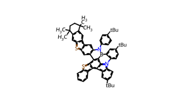 CC(C)(C)c1ccc(N2B3c4cc(C(C)(C)C)ccc4-n4c5ccc(C(C)(C)C)cc5c5c6c(sc7ccccc76)c(c3c54)-c3cc4sc5cc6c(cc5c4cc32)C(C)(C)CCC6(C)C)cc1